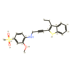 CCc1c(C#CCNc2ccc(S(C)(=O)=O)cc2OC)sc2ccccc12